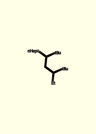 [CH2]CC(CC(CCCCCCC)C(C)(C)C)C(C)(C)C